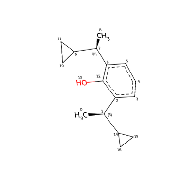 C[C@@H](c1cccc([C@H](C)C2CC2)c1O)C1CC1